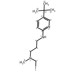 CN(CI)CCCNc1ccc(C(C)(C)C)cn1